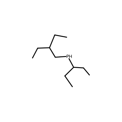 CCC(CC)CPC(CC)CC